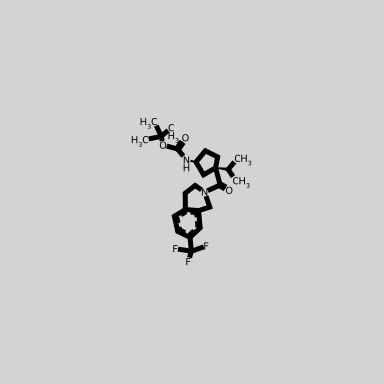 CC(C)[C@]1(C(=O)N2CCc3ccc(C(F)(F)F)cc3C2)CC[C@@H](NC(=O)OC(C)(C)C)C1